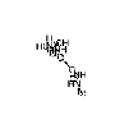 C[C@@H](O)[C@H](NC(=O)c1ccc(C#Cc2ccc(NC(=O)CNCCN3CCCC3)cc2)cc1)C(=O)NO